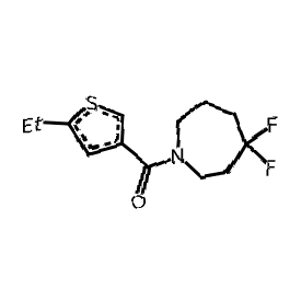 CCc1cc(C(=O)N2CCCC(F)(F)CC2)cs1